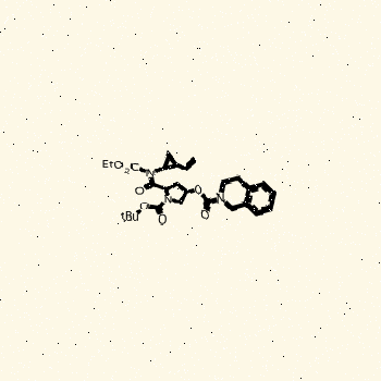 C=CC1CC1N(C(=O)OCC)C(=O)C1CC(OC(=O)N2CCc3ccccc3C2)CN1C(=O)OC(C)(C)C